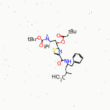 CC(CC(Cc1ccccc1)NC(=O)c1csc([C@@H](C[C@H](C(C)C)N(C)C(=O)OC(C)(C)C)OC(=O)CC(C)(C)C)n1)C(=O)O